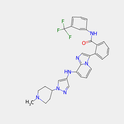 CN1CCC(n2cc(Nc3cccn4c(-c5ccccc5C(=O)Nc5cccc(C(F)(F)F)c5)cnc34)cn2)CC1